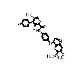 COc1cc2nccc(Oc3ccc(NC(=O)c4ncc(C)n(-c5ccc(F)cc5)c4=O)cc3)c2nc1OC